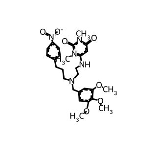 COc1cc(CN(CCCc2ccc([N+](=O)[O-])cc2)CCNc2cc(=O)n(C)c(=O)n2C)cc(OC)c1OC